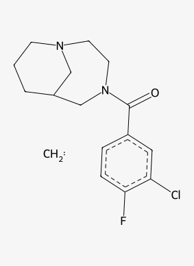 O=C(c1ccc(F)c(Cl)c1)N1CCN2CCCC(C2)C1.[CH2]